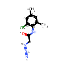 Cc1cc(C)c(NC(=O)CN=[N+]=[N-])c(Cl)c1